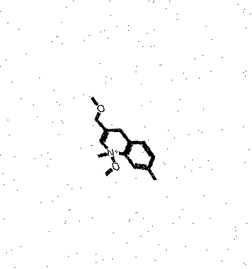 COCC1=C[N+](C)(OC)c2cc(C)ccc2[CH]1